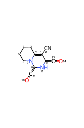 N#CC1=C2CCCCN2C(=C=O)NC1=C=O